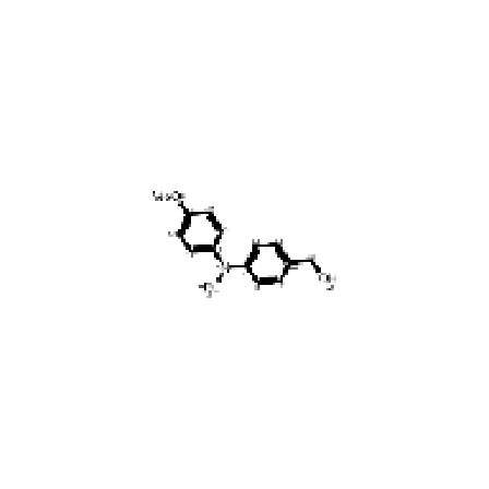 COc1ccc(N(C)c2ccc(CO)cc2)cc1